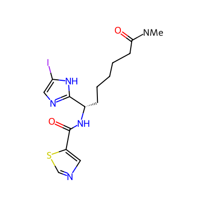 CNC(=O)CCCCC[C@H](NC(=O)c1cncs1)c1ncc(I)[nH]1